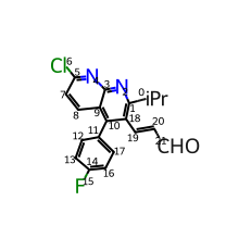 CC(C)c1nc2nc(Cl)ccc2c(-c2ccc(F)cc2)c1C=CC=O